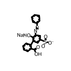 O=C(O)c1ccccc1-c1cc(S(=O)(=O)[O-])cc(N=Nc2ccccc2)c1O.[Na+]